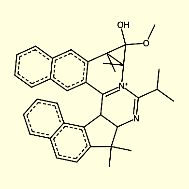 COC1(O)C2(C)c3cc4ccccc4cc3C3=[N+](C(C(C)C)=NC4C3c3c(ccc5ccccc35)C4(C)C)C12C